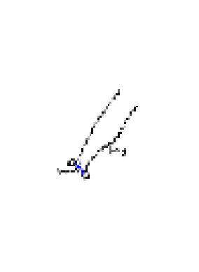 CCCCCCCCCCCCCCCCCCCCCCCC#CCCCc1ccccc1N=CC(CCCCCC)=Nc1ccccc1CCCC#CCCCCCCCCCCCCCCCCCCCCCCC.[Pd]